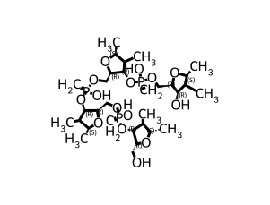 C=P(O)(OC[C@H]1O[C@@H](C)C(C)[C@H]1OP(=C)(O)OC[C@H]1O[C@@H](C)C(C)[C@H]1OP(=C)(O)OC[C@H]1O[C@@H](C)C(C)[C@H]1O)O[C@@H]1C(C)[C@H](C)O[C@@H]1CO